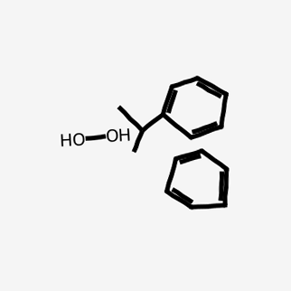 CC(C)c1ccccc1.OO.c1ccccc1